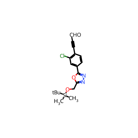 CC(C)(C)[Si](C)(C)OCc1nnc(-c2ccc(C#CC=O)c(Cl)c2)o1